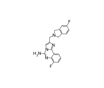 Nc1nc2c(F)cccc2c2nc(CN3Cc4ccc(F)cc4C3)cn12